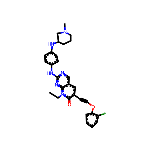 CCn1c(=O)c(C#COc2ccccc2F)cc2cnc(Nc3ccc(NC4CCCN(C)C4)cc3)nc21